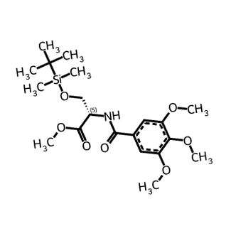 COC(=O)[C@H](CO[Si](C)(C)C(C)(C)C)NC(=O)c1cc(OC)c(OC)c(OC)c1